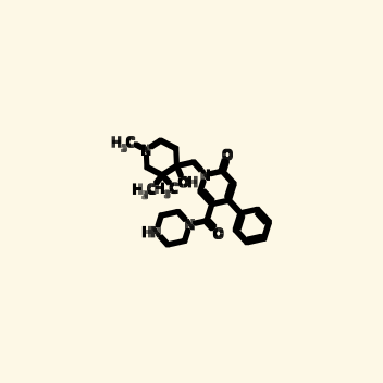 CN1CCC(O)(Cn2cc(C(=O)N3CCNCC3)c(-c3ccccc3)cc2=O)C(C)(C)C1